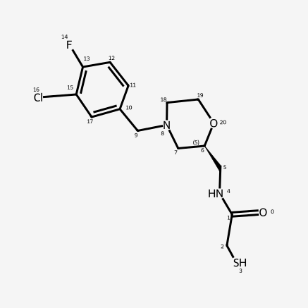 O=C(CS)NC[C@H]1CN(Cc2ccc(F)c(Cl)c2)CCO1